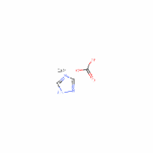 O=C([O-])[O-].[Ca+2].c1nc[nH]n1